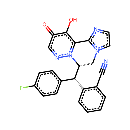 N#Cc1ccccc1[C@H](c1ccc(F)cc1)[C@H]1Cn2ccnc2-c2c(O)c(=O)cnn21